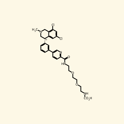 CN1Cc2c(Cl)cc(Cl)cc2[C@H](c2cccc(-c3ccc(C(=O)NCCOCCOCCNC(=O)O)nc3)c2)C1